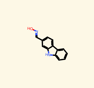 ON=Cc1ccc2c(c1)[nH]c1ccccc12